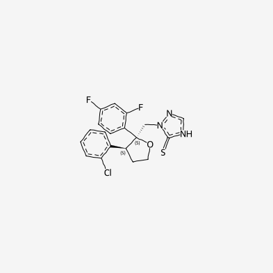 Fc1ccc([C@@]2(Cn3nc[nH]c3=S)OCC[C@H]2c2ccccc2Cl)c(F)c1